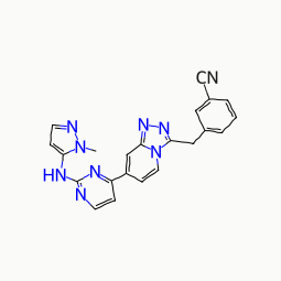 Cn1nccc1Nc1nccc(-c2ccn3c(Cc4cccc(C#N)c4)nnc3c2)n1